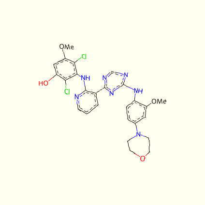 COc1cc(N2CCOCC2)ccc1Nc1ncnc(-c2cccnc2Nc2c(Cl)c(O)cc(OC)c2Cl)n1